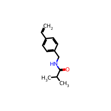 C=Cc1ccc(CNC(=O)C(C)C)cc1